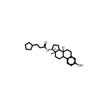 C[C@]12CCC3c4ccc(O)cc4CC[C@H]3[C@]1(I)CC[C@@H]2OC(=O)CCC1CCCC1